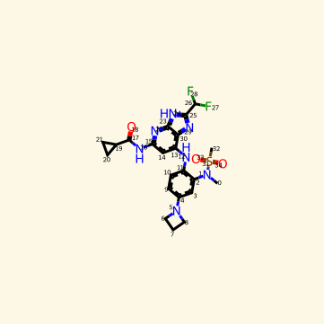 CN(c1cc(N2CCC2)ccc1Nc1cc(NC(=O)C2CC2)nc2[nH]c(C(F)F)nc12)S(C)(=O)=O